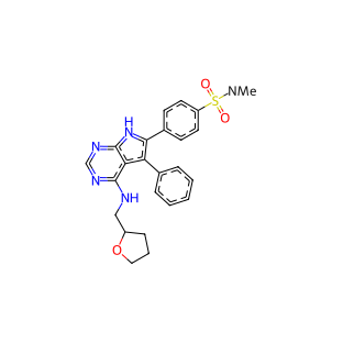 CNS(=O)(=O)c1ccc(-c2[nH]c3ncnc(NCC4CCCO4)c3c2-c2ccccc2)cc1